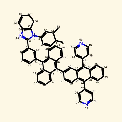 CC1C=CC(n2c(-c3cccc(-c4c5ccccc5c(-c5ccc6c(-c7ccncc7)c7ccccc7c(-c7ccncc7)c6c5)c5ccccc45)c3)nc3c2CCC=C3)=CC1C